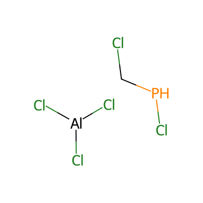 ClCPCl.[Cl][Al]([Cl])[Cl]